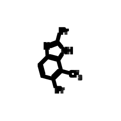 CC(C)c1nc2ccc(C(C)C)c(C(F)(F)F)c2[nH]1